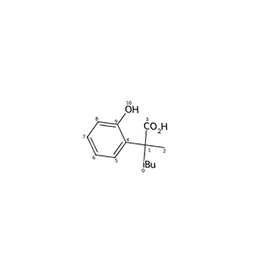 CCC(C)C(C)(C(=O)O)c1ccccc1O